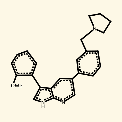 COc1ccccc1-c1c[nH]c2ncc(-c3cccc(CN4CCCC4)c3)cc12